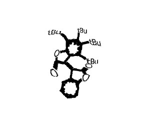 CC(C)(C)c1c2c(c(C(C)(C)C)c(C(C)(C)C)c1C(C)(C)C)C(=C1C(=O)Oc3ccccc31)C(=O)O2